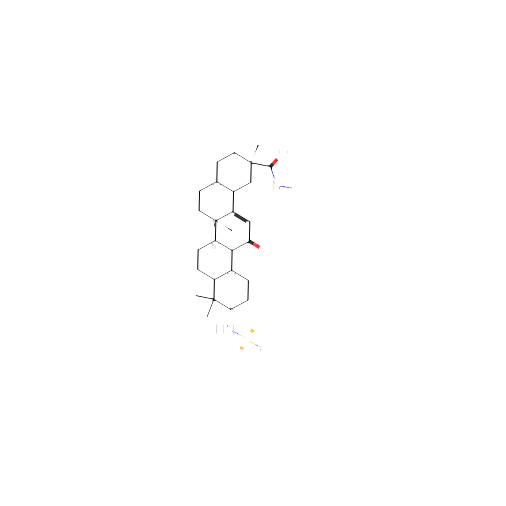 CC1(C)C2CC[C@]3(C)C(C(=O)C=C4C5C[C@@](C)(C(=O)NO)CC[C@]5(C)CC[C@]43C)[C@@]2(C)CC[C@@H]1NS(=O)(=O)C(F)(F)F